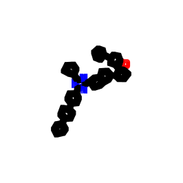 C1=CCC(c2nc(-c3ccc(-c4ccc(-c5ccccc5)cc4)cc3)nc(-c3ccc4cc(-c5cccc6oc7c(c56)C=C(c5ccccc5)CC7)ccc4c3)n2)C=C1